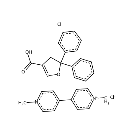 C[n+]1ccc(-c2cc[n+](C)cc2)cc1.O=C(O)C1=NOC(c2ccccc2)(c2ccccc2)C1.[Cl-].[Cl-]